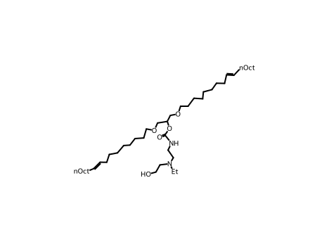 CCCCCCCCC=CCCCCCCCCOCC(COCCCCCCCCC=CCCCCCCCC)OC(=O)NCCN(CC)CCO